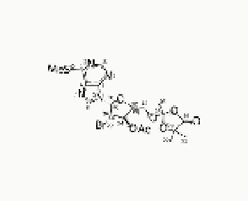 CSc1ncnc2c1ncn2[C@@H]1O[C@H](COC2(C)OC(=O)C(C)(C)O2)[C@@H](OC(C)=O)[C@@H]1Br